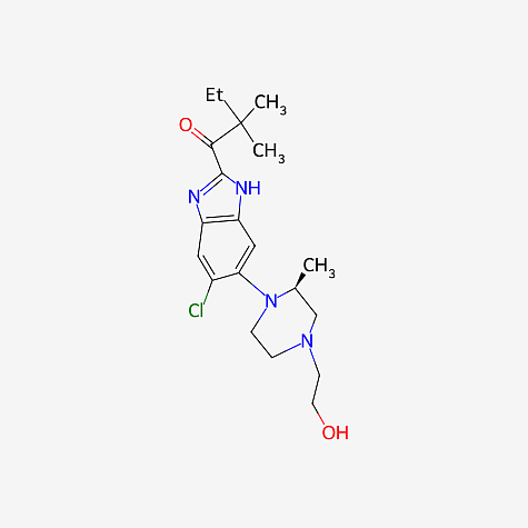 CCC(C)(C)C(=O)c1nc2cc(Cl)c(N3CCN(CCO)C[C@@H]3C)cc2[nH]1